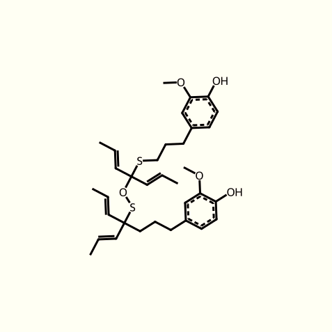 CC=CC(C=CC)(CCCc1ccc(O)c(OC)c1)SOC(/C=C/C)(/C=C/C)SCCCc1ccc(O)c(OC)c1